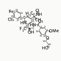 COc1cc(C(=O)NC[C@@](O)(C2=CC(C(C)(C)NCl)=CC(c3ccc(F)c(Cl)c3)N2)C(F)(F)F)ccc1OCCO